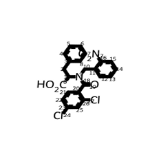 O=C(O)C(Cc1ccccc1)N(Cc1ccccc1[N+](=O)[O-])C(=O)c1ccc(Cl)cc1Cl